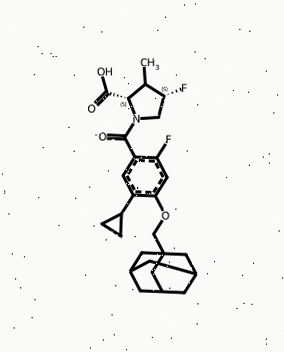 CC1[C@H](F)CN(C(=O)c2cc(C3CC3)c(OCC34CC5CC(CC(C5)C3)C4)cc2F)[C@@H]1C(=O)O